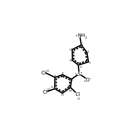 Nc1ccc([S+]([O-])c2cc(Cl)c(Cl)cc2Cl)cc1